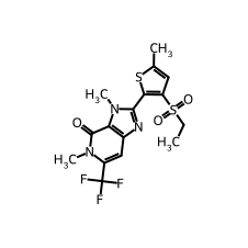 CCS(=O)(=O)c1cc(C)sc1-c1nc2cc(C(F)(F)F)n(C)c(=O)c2n1C